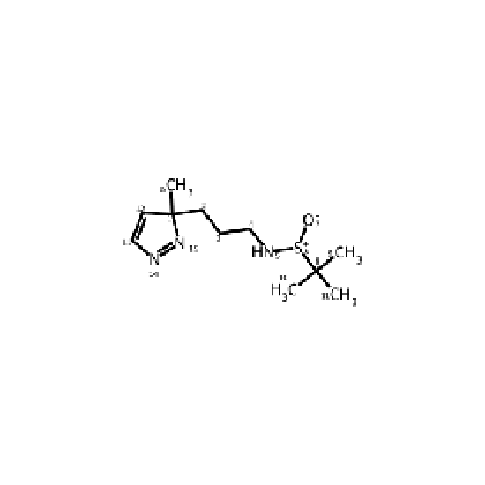 CC1(CCCN[S+]([O-])C(C)(C)C)C=CN=N1